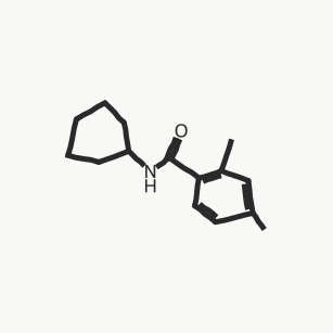 Cc1ccc(C(=O)NC2CCCCC2)c(C)c1